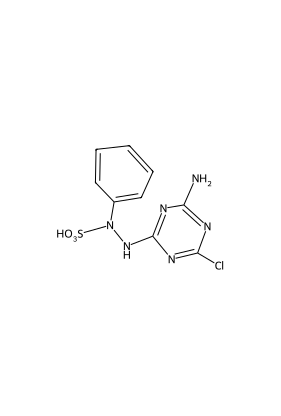 Nc1nc(Cl)nc(NN(c2ccccc2)S(=O)(=O)O)n1